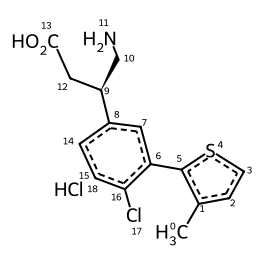 Cc1ccsc1-c1cc([C@H](CN)CC(=O)O)ccc1Cl.Cl